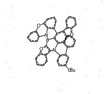 CC(C)(C)c1ccc(N2c3cc4oc5ccccc5c4c4c3B(c3oc5ccccc5c32)N2c3ccccc3Oc3cccc-4c32)c(-c2ccccc2)c1